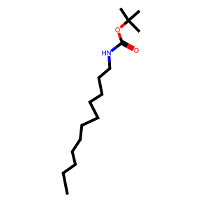 CCCCCCCCCCCNC(=O)OC(C)(C)C